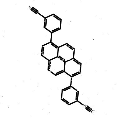 [C-]#[N+]c1cccc(-c2ccc3ccc4c(-c5cccc(C#N)c5)ccc5ccc2c3c54)c1